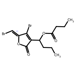 CCCC(=O)OC(CCC)C1=C(Br)/C(=C/Br)OC1=O